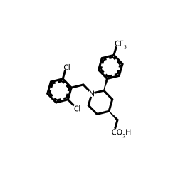 O=C(O)C[C@H]1CCN(Cc2c(Cl)cccc2Cl)[C@@H](c2ccc(C(F)(F)F)cc2)C1